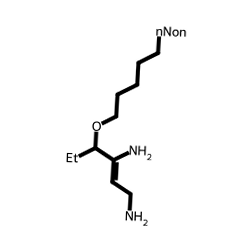 CCCCCCCCCCCCCCOC(CC)C(N)=CCN